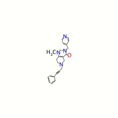 CN1CN(Cc2ccncc2)C(=O)C2=C1CCN(CC#Cc1ccccc1)C2